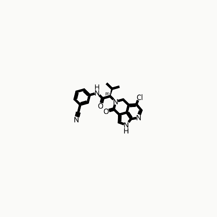 CC(C)[C@H](C(=O)Nc1cccc(C#N)c1)N1Cc2c(Cl)cnc3[nH]cc(c23)C1=O